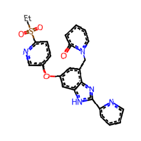 CCS(=O)(=O)c1ccc(Oc2cc(Cn3ccccc3=O)c3nc(-c4ccccn4)[nH]c3c2)cn1